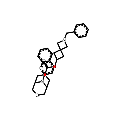 O=C(OC1CC2(C1)CN(Cc1ccccc1)C2)N1CC2COCC(C1)N2c1cnc2ccccc2n1